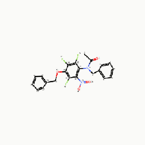 CC(=O)N(Cc1ccccc1)c1c(F)c(F)c(OCc2ccccc2)c(F)c1[N+](=O)[O-]